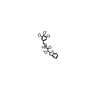 COc1cc(/C=N/NC(=O)C(OC)C2Cc3ccccc3S2)cc(OC)c1OC